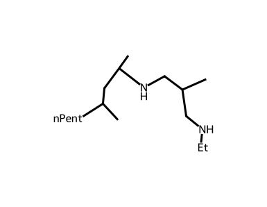 CCCCCC(C)CC(C)NCC(C)CNCC